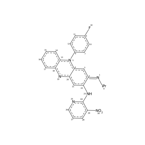 CC(C)N=c1cc2n(-c3ccc(F)cc3)c3ccccc3nc-2cc1Nc1ncccc1[N+](=O)[O-]